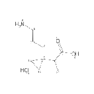 CC(C(=O)O)C1(CCCN)CC1.Cl